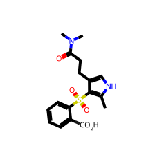 Cc1[nH]cc(CCC(=O)N(C)C)c1S(=O)(=O)c1ccccc1C(=O)O